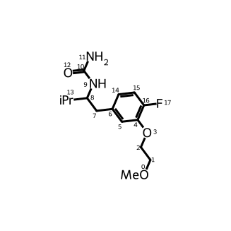 COCCOc1cc(CC(NC(N)=O)C(C)C)ccc1F